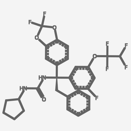 O=C(NC1CCCC1)N[C@@](Cc1ccccc1)(c1cc(F)cc(OC(F)(F)C(F)F)c1)c1ccc2c(c1)OC(F)(F)O2